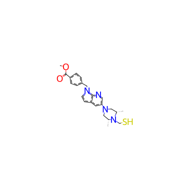 COC(=O)c1ccc(Cn2ccc3cc(N4C[C@@H](C)N(CS)[C@@H](C)C4)cnc32)cc1